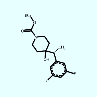 C[C@H](c1cc(F)cc(F)c1)C1(O)CCN(C(=O)OC(C)(C)C)CC1